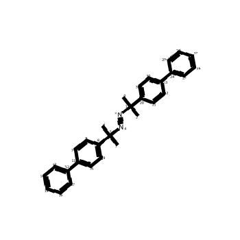 CC(C)(N=NC(C)(C)c1ccc(-c2ccccc2)cc1)c1ccc(-c2ccccc2)cc1